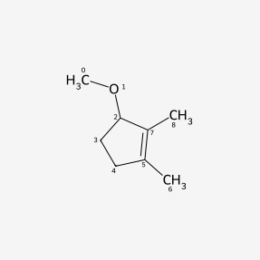 COC1CCC(C)=C1C